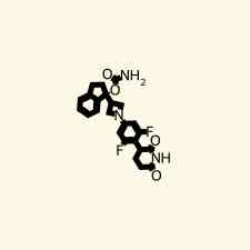 NC(=O)O[C@@]1(C2CN(c3cc(F)c(C4CCC(=O)NC4=O)c(F)c3)C2)CCc2ccccc21